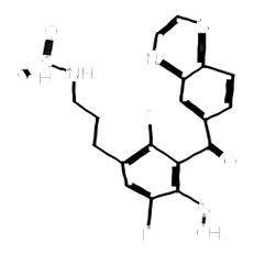 CSc1c(F)cc(CCCN[SH](=O)=O)c(F)c1C(=O)c1ccc2nccnc2c1